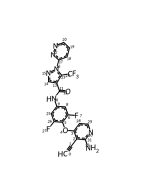 C#Cc1c(Oc2c(F)cc(NC(=O)c3cnn(-c4cccnn4)c3C(F)(F)F)cc2F)ccnc1N